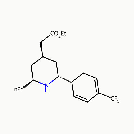 CCC[C@H]1C[C@@H](CC(=O)OCC)C[C@H](C2C=CC(C(F)(F)F)=CC2)N1